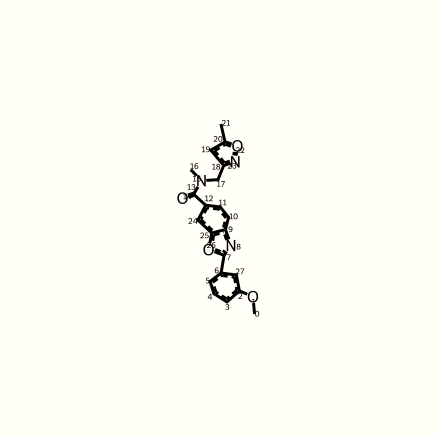 COc1cccc(-c2nc3ccc(C(=O)N(C)Cc4cc(C)on4)cc3o2)c1